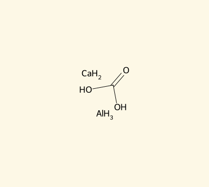 O=C(O)O.[AlH3].[CaH2]